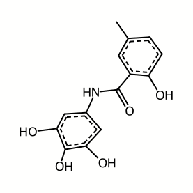 Cc1ccc(O)c(C(=O)Nc2cc(O)c(O)c(O)c2)c1